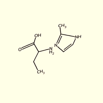 CCC(N)C(=O)O.Cc1ncc[nH]1